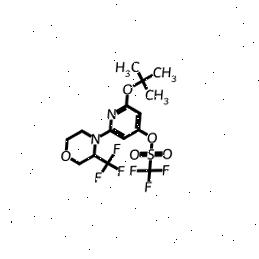 CC(C)(C)Oc1cc(OS(=O)(=O)C(F)(F)F)cc(N2CCOCC2C(F)(F)F)n1